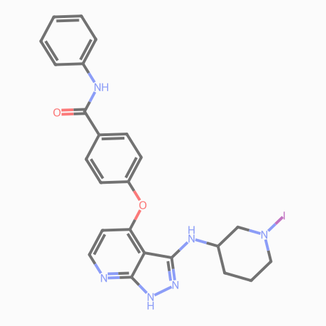 O=C(Nc1ccccc1)c1ccc(Oc2ccnc3[nH]nc(NC4CCCN(I)C4)c23)cc1